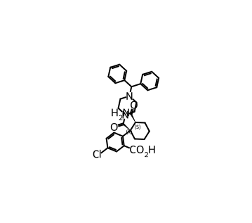 NC(=O)[C@H]1CCCC[C@]1(C(=O)N1CCN(C(c2ccccc2)c2ccccc2)CC1)c1ccc(Cl)cc1C(=O)O